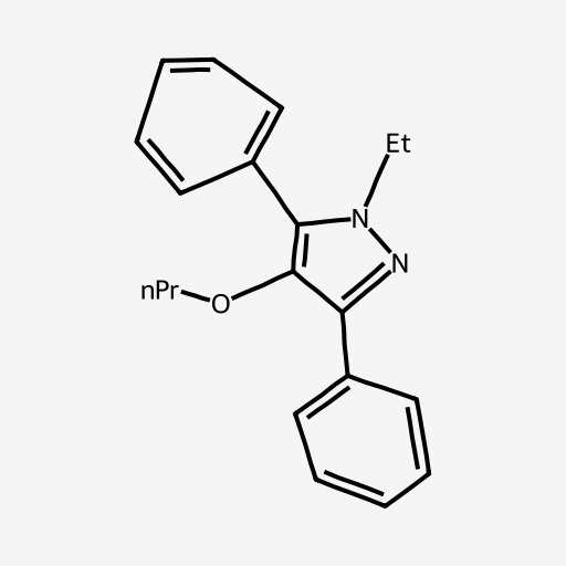 CCCOc1c(-c2ccccc2)nn(CC)c1-c1ccccc1